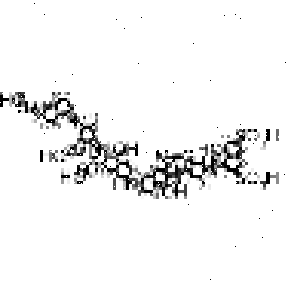 COC1=CC(/N=N/c2cc(S(=O)(=O)O)cc3cc(S(=O)(=O)O)cc(O)c23)C(C)C=C1/N=N/c1c(S(=O)(=O)O)cc2cc(Nc3ccc4c(O)c(/N=N/c5cc(C)c(/N=N/c6cccc7cc(SOOO)ccc67)cc5OCCO)c(SOOO)cc4c3)ccc2c1O